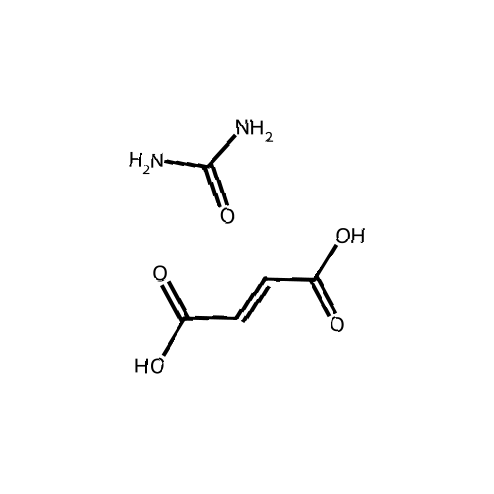 NC(N)=O.O=C(O)C=CC(=O)O